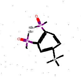 CC(C)(C)P(C)(=O)c1ccc([Si](C)(C)C)cc1P(C)(=O)C(C)(C)C